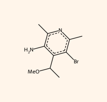 COC(C)c1c(N)c(C)nc(C)c1Br